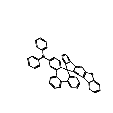 c1ccc(N(c2ccccc2)c2ccc3c(c2)-c2ccccc2-c2ccccc2C32c3ccccc3-c3cc4oc5ccccc5c4cc32)cc1